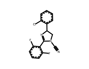 N#CN1CC(c2ccccc2Cl)N=C1c1c(F)cccc1F